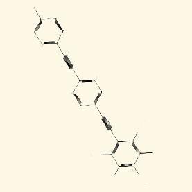 Cc1ccc(C#Cc2ccc(C#Cc3c(F)c(F)c(F)c(F)c3F)cc2)cc1